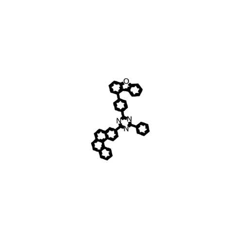 c1ccc(-c2nc(-c3ccc(-c4cccc5oc6ccccc6c45)cc3)nc(-c3ccc4c(ccc5ccc6ccccc6c54)c3)n2)cc1